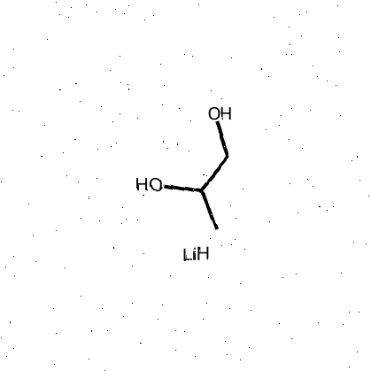 CC(O)CO.[LiH]